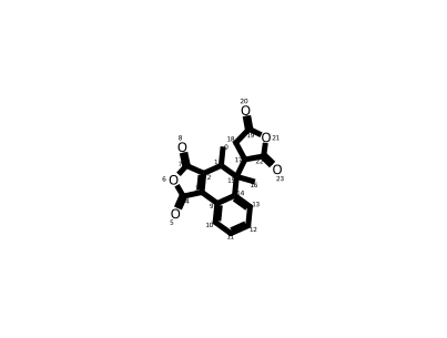 CC1C2=C(C(=O)OC2=O)c2ccccc2C1(C)C1CC(=O)OC1=O